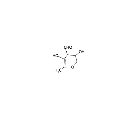 CC1=C(O)C(C=O)C(O)CO1